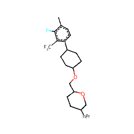 CCCC1CCC(COC2CCC(c3ccc(C)c(F)c3C(F)(F)F)CC2)OC1